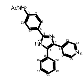 CC(=O)Nc1ccc(-c2nc(-c3ccncc3)c(-c3ccccc3)[nH]2)cc1